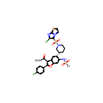 CCS(=O)(=O)Nc1cc2oc(-c3ccc(F)cc3)c(C(=O)NC)c2cc1[C@H]1CCCN(S(=O)(=O)c2c(Cl)nc3sccn23)C1